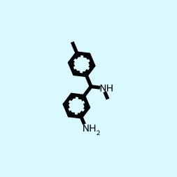 CNC(c1ccc(C)cc1)c1cccc(N)c1